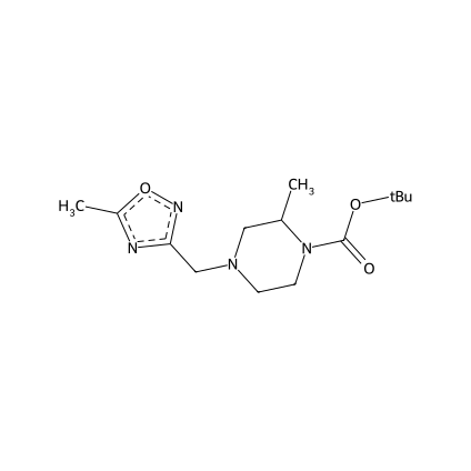 Cc1nc(CN2CCN(C(=O)OC(C)(C)C)C(C)C2)no1